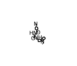 CCn1c2ccccc2c2cc(CNC(=O)C(C)CNC(=O)c3ccc(C#N)cc3)ccc21